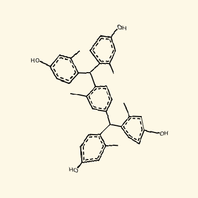 Cc1cc(O)ccc1C(c1ccc(C(c2ccc(O)cc2C)c2ccc(O)cc2C)c(C)c1)c1ccc(O)cc1C